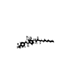 CCCCCCCC[C@H](F)[C@H](F)C(=O)Nc1ccc(NCc2ccc(C(F)(F)F)cc2)c(F)c1N